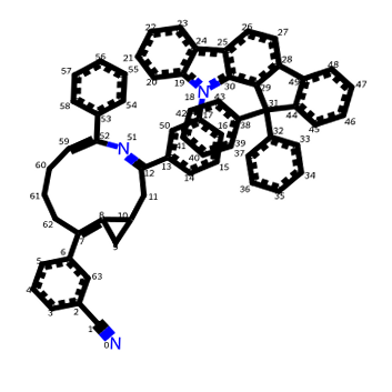 N#Cc1cccc(/C2=C3/CC3C/C(c3cccc(-n4c5ccccc5c5ccc6c(c54)C(c4ccccc4)(c4ccccc4)c4ccccc4-6)c3)=N\C(c3ccccc3)=C/CCC2)c1